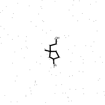 CC(C)C1CCC(C)(CCO)C1